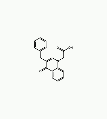 O=C(O)Cn1cc(Cc2ccccc2)c(=O)c2ccccc21